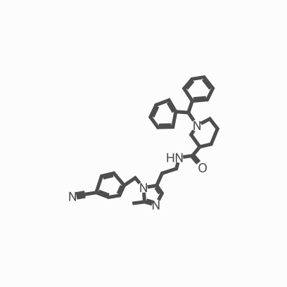 Cc1ncc(CCNC(=O)C2CCCN(C(c3ccccc3)c3ccccc3)C2)n1Cc1ccc(C#N)cc1